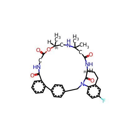 C[C@@H]1CNC(C)(C)CC(=O)N[C@@H]2CCc3cc(F)ccc3N(Cc3ccc(cc3)-c3ccccc3C(=O)NCC(=O)O1)C2=O